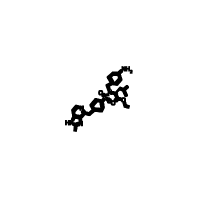 CCOC(=O)[C@H](CC(C)C)N(Cc1ccc(N)cc1)S(=O)(=O)c1ccc(Cc2nccc3[nH]c(C)nc23)cc1